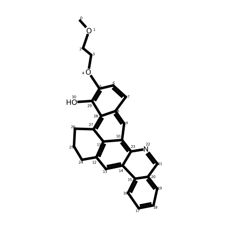 COCCOc1ccc2cc3c4c(cc5c6ccccc6cnc35)CCCc4c2c1O